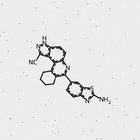 N#Cc1n[nH]c2ccc3nc(-c4ccc5nc(N)sc5c4)c4c(c3c12)CCCC4